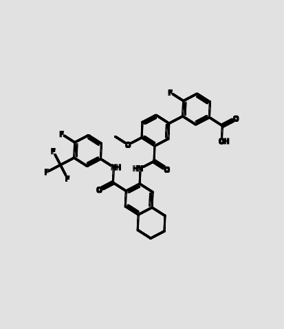 COc1ccc(-c2cc(C(=O)O)ccc2F)cc1C(=O)Nc1cc2c(cc1C(=O)Nc1ccc(F)c(C(F)(F)F)c1)CCCC2